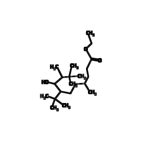 CCOC(=O)CCC(C)CCC(C(O)C(C)C(C)(C)C)C(C)(C)C